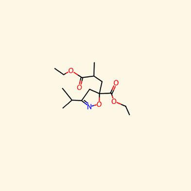 CCOC(=O)C(C)CC1(C(=O)OCC)CC(C(C)C)=NO1